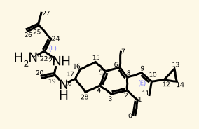 C=Cc1cc2c(c(C)c1/C=C(\C)C1CC1)CCC(NC(=C)N/C(N)=C/C(=C)C)C2